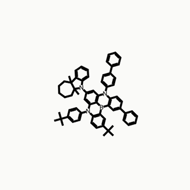 CC(C)(C)c1ccc(N2c3ccc(C(C)(C)C)cc3B3c4cc(-c5ccccc5)ccc4N(c4ccc(-c5ccccc5)cc4)c4cc(N5c6ccccc6C6(C)CCCCCC56C)cc2c43)cc1